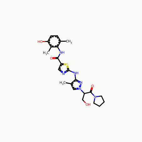 Cc1cn(C(CO)C(=O)N2CCCC2)nc1Nc1ncc(C(=O)Nc2c(C)ccc(O)c2C)s1